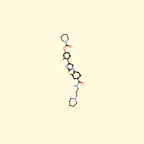 O=C(NCCCN1CCC(F)CC1)c1ccc2c(c1)sc1nc(-c3ccc(OC(=O)N4CCCCC4)cc3F)cn12